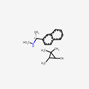 CC1C(C#N)C1(C)C.C[C@@H](NC(=O)O)c1ccc2ccccc2c1